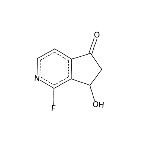 O=C1CC(O)c2c1ccnc2F